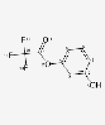 O=C(Oc1cccc(O)c1)C(F)(F)F